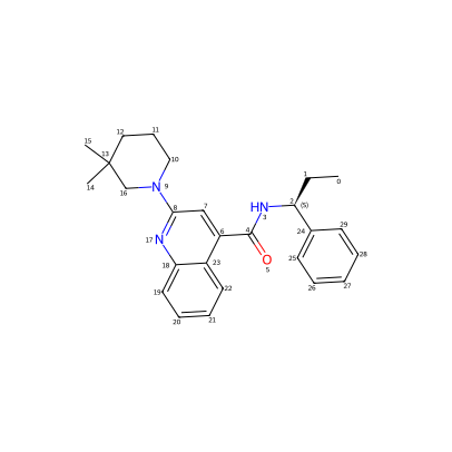 CC[C@H](NC(=O)c1cc(N2CCCC(C)(C)C2)nc2ccccc12)c1ccccc1